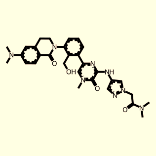 CN(C)C(=O)Cn1cc(Nc2nc(-c3cccc(N4CCc5cc(N(C)C)ccc5C4=O)c3CO)cn(C)c2=O)cn1